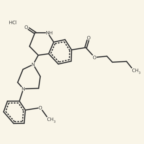 CCCCOC(=O)c1ccc2c(c1)NC(=O)CC2N1CCN(c2ccccc2OC)CC1.Cl